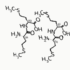 CSCC[C@H](NC(=O)[C@@H](N)CCSC)C(=O)O.CSCC[C@H](NC(=O)[C@@H](N)CCSC)C(=O)O